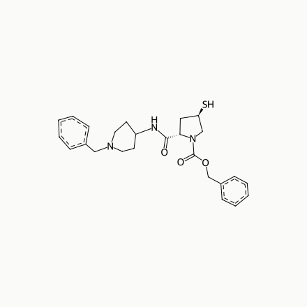 O=C(NC1CCN(Cc2ccccc2)CC1)[C@@H]1C[C@@H](S)CN1C(=O)OCc1ccccc1